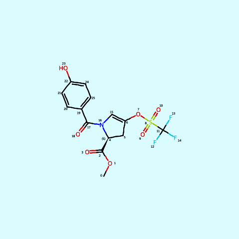 COC(=O)[C@@H]1CC(OS(=O)(=O)C(F)(F)F)=CN1C(=O)c1ccc(O)cc1